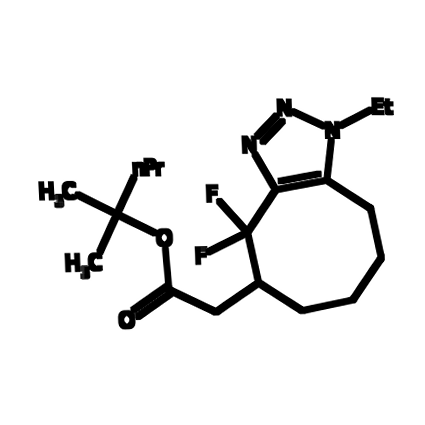 CCCC(C)(C)OC(=O)CC1CCCCc2c(nnn2CC)C1(F)F